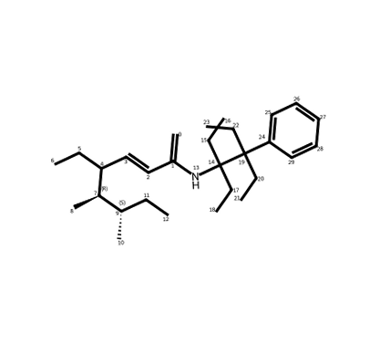 C=C(C=CC(CC)[C@H](C)[C@@H](C)CC)NC(CC)(CC)C(CC)(CC)c1ccccc1